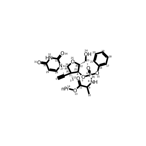 C#C[C@]1(C)[C@H](O[P@](=O)(NC(C)C(=O)OCCC)Oc2ccccc2)[C@@H](CO)O[C@H]1n1ccc(=O)[nH]c1=O